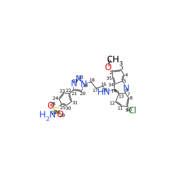 COc1ccc2nc3cc(Cl)ccc3c(NCCCn3cc(-c4ccc(S(N)(=O)=O)cc4)nn3)c2c1